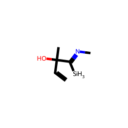 C=CC(C)(O)C([SiH3])=NC